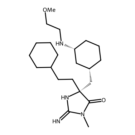 COCCN[C@@H]1CCC[C@H](C[C@@]2(CCC3CCCCC3)NC(=N)N(C)C2=O)C1